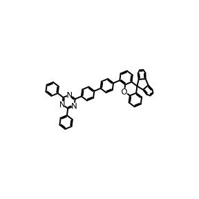 c1ccc(-c2nc(-c3ccccc3)nc(-c3ccc(-c4ccc(-c5cccc6c5Oc5ccccc5C65c6ccccc6-c6ccccc65)cc4)cc3)n2)cc1